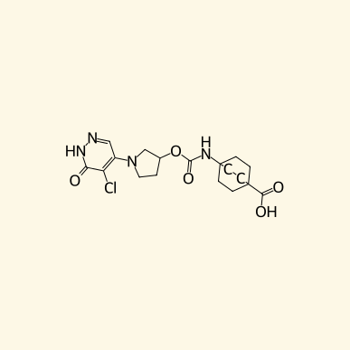 O=C(NC12CCC(C(=O)O)(CC1)CC2)OC1CCN(c2cn[nH]c(=O)c2Cl)C1